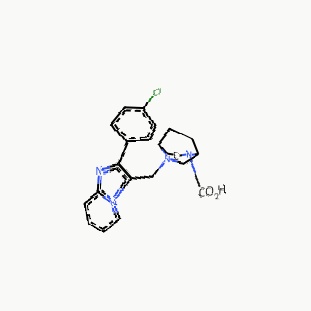 O=C(O)N1CCC2CCC1CN2Cc1c(-c2ccc(Cl)cc2)nc2ccccn12